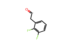 O=[C]Cc1cccc(F)c1F